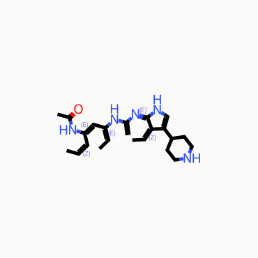 C=C(/N=C1/NC=C(C2CCNCC2)/C1=C/C)NC(/C=C(\C=C/C)NC(C)=O)=C/C